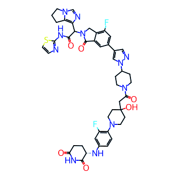 O=C1CC[C@H](Nc2ccc(N3CCC(O)(CC(=O)N4CCC(n5cc(-c6cc(F)c7c(c6)C(=O)N(C(C(=O)Nc6nccs6)c6ncn8c6CCC8)C7)cn5)CC4)CC3)c(F)c2)C(=O)N1